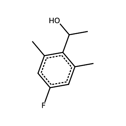 Cc1cc(F)cc(C)c1C(C)O